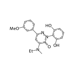 CCN(C)c1cc(-c2cccc(OC)c2)nn(-c2c(O)cccc2O)c1=O